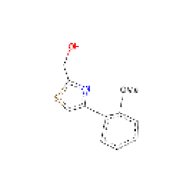 COc1ccccc1-c1csc(CO)n1